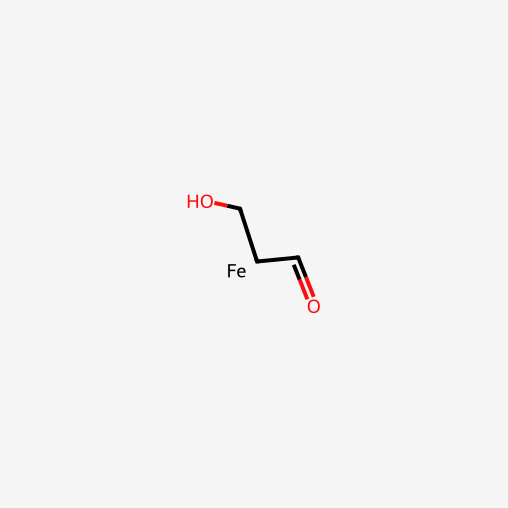 O=CCCO.[Fe]